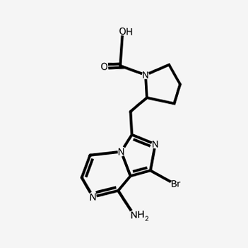 Nc1nccn2c(CC3CCCN3C(=O)O)nc(Br)c12